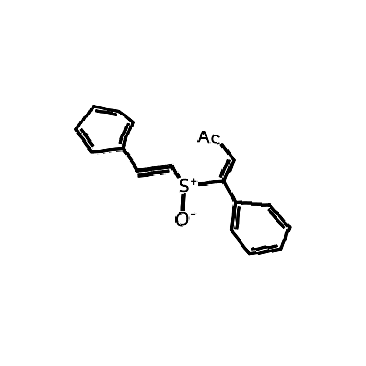 CC(=O)/C=C(/c1ccccc1)[S+]([O-])C=Cc1ccccc1